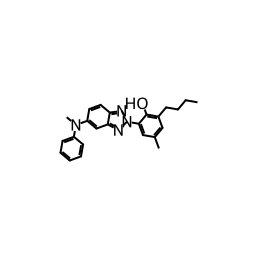 CCCCc1cc(C)cc(-n2nc3ccc(N(C)c4ccccc4)cc3n2)c1O